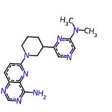 CN(C)c1cncc(C2CCCN(c3ccc4ncnc(N)c4n3)C2)n1